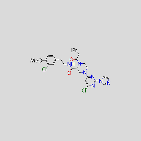 COc1ccc(CCNC(=O)C2CN(c3cc(Cl)nc(-n4ccnc4)n3)CCN2C(=O)CC(C)C)cc1Cl